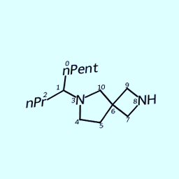 CCCCCC(CCC)N1CCC2(CNC2)C1